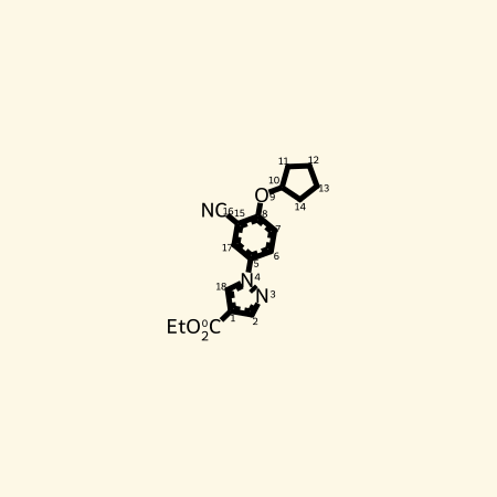 CCOC(=O)c1cnn(-c2ccc(OC3CCCC3)c(C#N)c2)c1